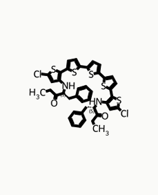 CCC(=O)[C@H](Cc1ccccc1)Nc1cc(Cl)sc1-c1ccc(-c2ccc(-c3ccc(-c4sc(Cl)cc4N[C@@H](Cc4ccccc4)C(=O)CC)s3)s2)s1